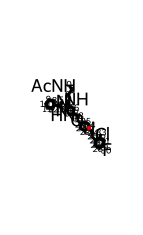 CC(=O)NCCNc1nc(-c2ccccc2)nc2c1CC(COC1CCN(CCc3ccc(F)cc3Cl)CC1)N2